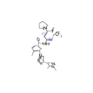 C=C(F)/C(=C\C(=C/CC(F)(F)F)NC(=O)c1ccc(C)c(-n2cc(-c3cnn(C)c3C)nn2)c1)N1CCCC1